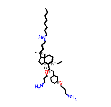 CCCCCCCCNCCC[C@@H](C)C1CC[C@H]2C([C@@H](CC3CCC[C@@H](OCCCN)C3)OCCCN)[C@@H](CC)CCC12C